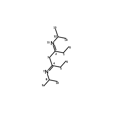 CC/C(C/C(CC)=N/C(C)C)=N\C(C)C